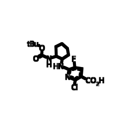 CC(C)(C)OC(=O)NC1CCCCC1Nc1nc(Cl)c(C(=O)O)cc1F